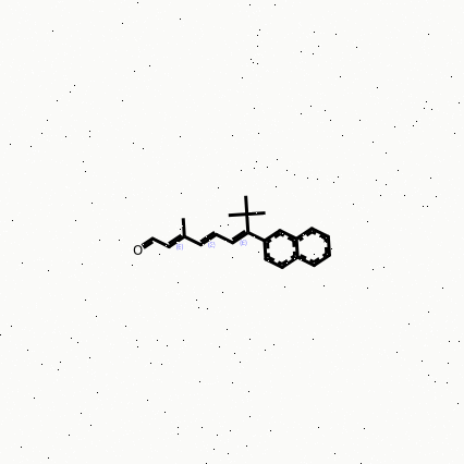 CC(/C=C/C=C(/c1ccc2ccccc2c1)C(C)(C)C)=C\C=O